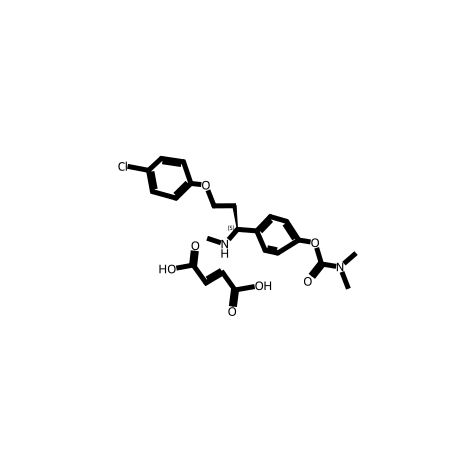 CN[C@@H](CCOc1ccc(Cl)cc1)c1ccc(OC(=O)N(C)C)cc1.O=C(O)C=CC(=O)O